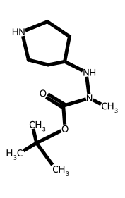 CN(NC1CCNCC1)C(=O)OC(C)(C)C